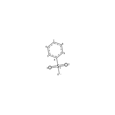 [CH2]S(=O)(=O)c1ccccc1